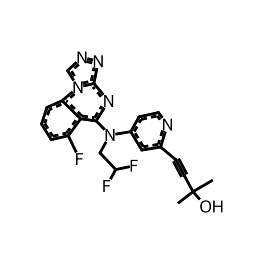 CC(C)(O)C#Cc1cc(N(CC(F)F)c2nc3nncn3c3cccc(F)c23)ccn1